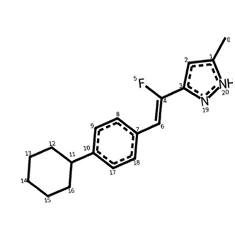 Cc1cc(/C(F)=C/c2ccc(C3CCCCC3)cc2)n[nH]1